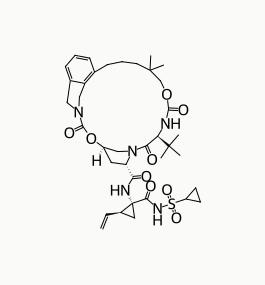 C=C[C@@H]1C[C@]1(NC(=O)[C@@H]1C[C@@H]2CN1C(=O)[C@H](C(C)(C)C)NC(=O)OCC(C)(C)CCCc1cccc3c1CN(C3)C(=O)O2)C(=O)NS(=O)(=O)C1CC1